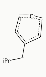 CC(C)[CH]c1ccccc1